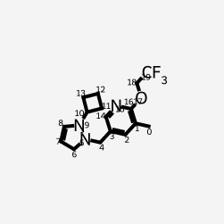 Cc1cc(CN2CC=CN2C2CCC2)cnc1OCC(F)(F)F